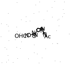 CC(=O)N1CC(n2ncc3ccc(-c4noc(C5CCN(C=O)CC5)n4)cc32)C1